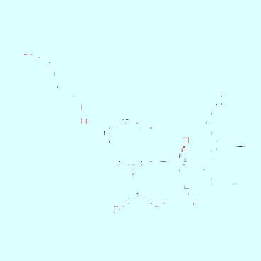 C=CC(C)=C(C(=O)O)[C@@]1(O)c2ccc(OCCCO)cc2C(=O)CC1(C)C